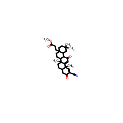 COC(=O)CCC12CCC3C(C(=O)C=C4C5(C)C=C(C#N)C(=O)CC5CCC43C)C1CC(C)(C)CC2